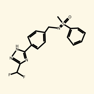 CS(=O)(=NCc1ccc(-c2nc(C(F)F)n[nH]2)cc1)c1ccccc1